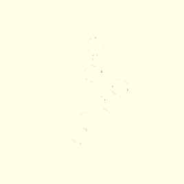 O=C(Nc1ccccc1-c1cccc2c1oc1ccccc12)C1C=Cc2cc(Br)ccc2C1